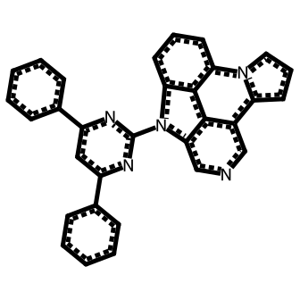 c1ccc(-c2cc(-c3ccccc3)nc(-n3c4cncc5c4c4c3cccc4n3cccc53)n2)cc1